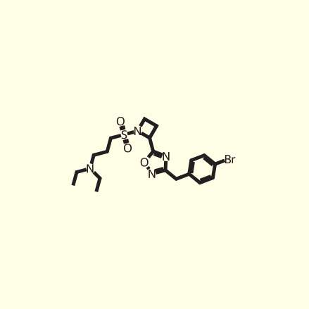 CCN(CC)CCCS(=O)(=O)N1CCC1c1nc(Cc2ccc(Br)cc2)no1